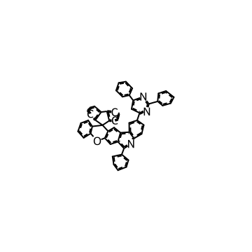 c1ccc(-c2cc(-c3ccc4nc(-c5ccccc5)c5cc6c(cc5c4c3)C3(c4ccccc4O6)c4ccccc4-c4ccccc43)nc(-c3ccccc3)n2)cc1